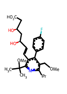 COCc1c(C(C)C)nc(C(C)(C)OC)c(/C=C/[C@@H](O)C[C@@H](O)CC(=O)O)c1-c1ccc(F)cc1